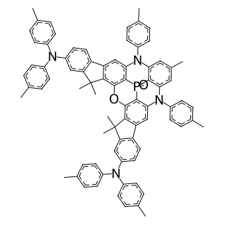 Cc1ccc(N(c2ccc(C)cc2)c2ccc3c(c2)C(C)(C)c2c-3cc3c4c2Oc2c5c(cc6c2P4(=O)c2c(cc(C)cc2N6c2ccc(C)cc2)N3c2ccc(C)cc2)-c2ccc(N(c3ccc(C)cc3)c3ccc(C)cc3)cc2C5(C)C)cc1